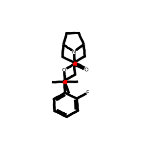 CC(C)(C)OC(=O)N1C2CCC1CC(CCc1ccccc1F)C2